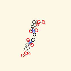 CC(C)C1=CC23CCC4C(C)(C(=O)OCC5CO5)CCCC4(C)C2CC1C1C(=O)N(c2ccc(Cc4ccc(N5C(=O)C6C7CC8C9(C)CCCC(C)(C(=O)OCC%10CO%10)C9CCC8(C=C7C(C)C)C6C5=O)cc4)cc2)C(=O)C13